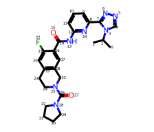 CC(C)n1cnnc1-c1cccc(NC(=O)c2cc3c(cc2F)CCN(C(=O)N2CCCC2)C3)n1